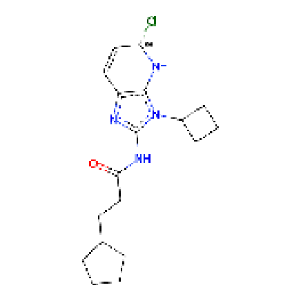 O=C(CCC1CCCC1)Nc1nc2c(n1C1CCC1)N[C@@H](Cl)C=C2